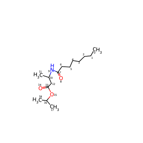 CCCCCCCC(=O)NC(C)CC(=O)OC(C)C